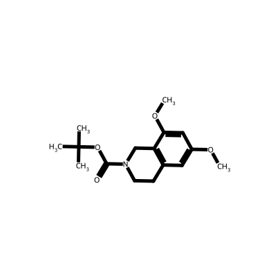 COc1cc2c(c(OC)c1)CN(C(=O)OC(C)(C)C)CC2